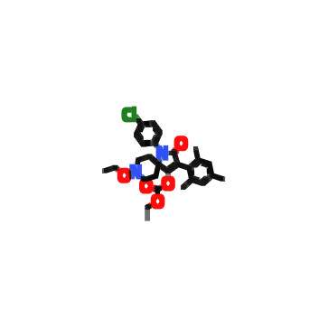 CCOC(=O)OC1=C(c2c(C)cc(C)cc2C)C(=O)N(c2ccc(Cl)cc2)C12CCN(OCC)CC2